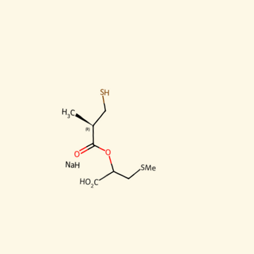 CSCC(OC(=O)[C@@H](C)CS)C(=O)O.[NaH]